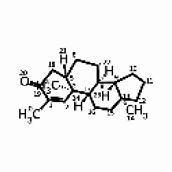 CC1=C[C@@]2(C)[C@@H](CC[C@H]3[C@@H]4CCC[C@@]4(C)CC[C@@H]32)CC1=O